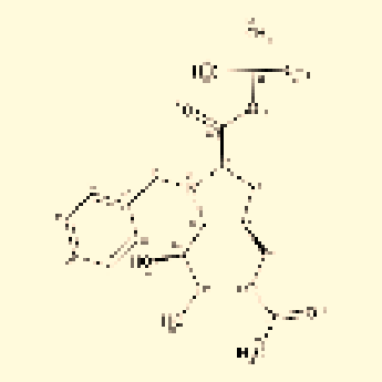 CC(=O)OC[C@@H]1C[C@H](C(=O)OC(C)(C)C)N(Cc2ccccc2)[C@H]1[C@H](O)CO